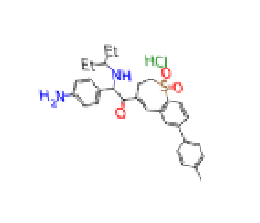 CCC(CC)NC(C(=O)C1=Cc2cc(-c3ccc(C)cc3)ccc2S(=O)(=O)CC1)c1ccc(N)cc1.Cl